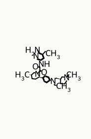 CCc1cc(NC(=O)C(=O)N2C[C@@H](C)CC[C@@H]2c2ccc(N(CC)C[C@@H]3CCCN(C)C3)cc2)cnc1N